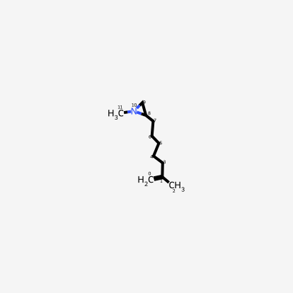 C=C(C)CCCCCC1CN1C